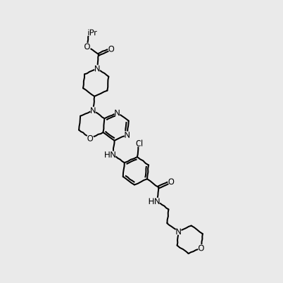 CC(C)OC(=O)N1CCC(N2CCOc3c(Nc4ccc(C(=O)NCCN5CCOCC5)cc4Cl)ncnc32)CC1